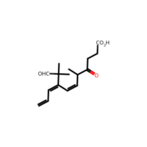 C=C/C=C(\C=C/C(C)C(=O)CCC(=O)O)C(C)(C)C=O